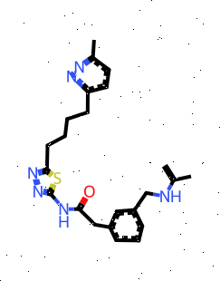 C=C(C)NCc1cccc(CC(=O)Nc2nnc(CCCCc3ccc(C)nn3)s2)c1